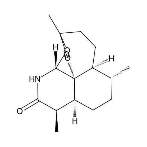 C[C@@H]1CC[C@H]2[C@@H](C)C(=O)N[C@@H]3OC4(C)CC[C@@H]1[C@]32OO4